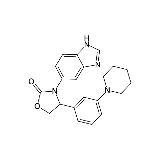 O=C1OCC(c2cccc(N3CCCCC3)c2)N1c1ccc2[nH]cnc2c1